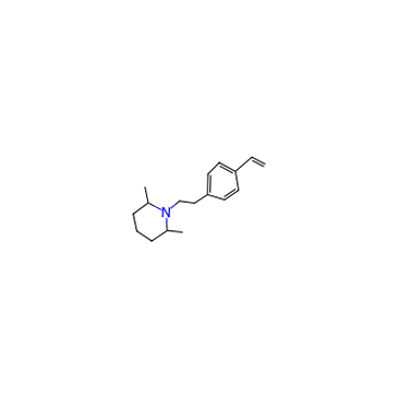 C=Cc1ccc(CCN2C(C)CCCC2C)cc1